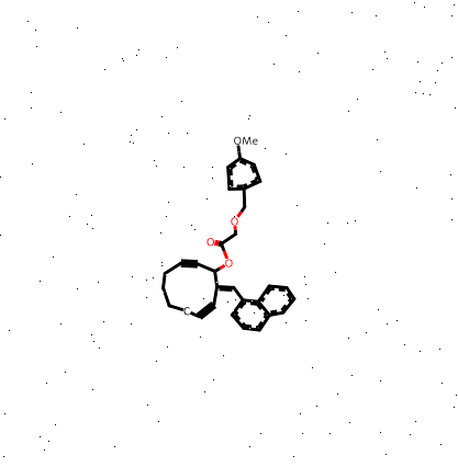 COc1ccc(COCC(=O)OC2C#CCCCCC#C/C2=C\c2cccc3ccccc23)cc1